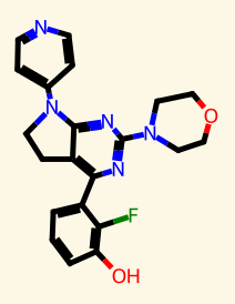 Oc1cccc(-c2nc(N3CCOCC3)nc3c2CCN3c2ccncc2)c1F